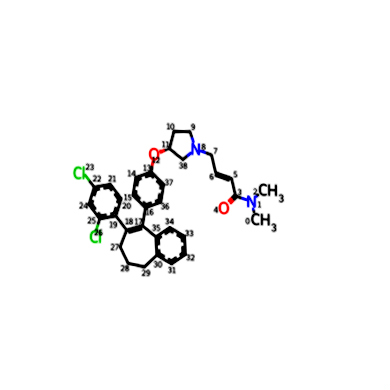 CN(C)C(=O)/C=C/CN1CC[C@H](Oc2ccc(C3=C(c4ccc(Cl)cc4Cl)CCCc4ccccc43)cc2)C1